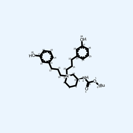 CC(C)(C)OC(=O)N[C@H]1CCC[N+](CCCc2cccc(O)c2)(CCCc2cccc(O)c2)C1